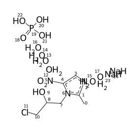 Cc1ncc([N+](=O)[O-])n1CC(O)CCl.O.O.O.O.O.O.O=P(O)(O)O.[NaH].[NaH]